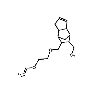 C=COCCOCC1C(CO)C2CC1C1CC=CC21